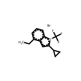 CCc1cccc2c1cc(C1CC1)[s+]2C(F)(F)F.[Br-]